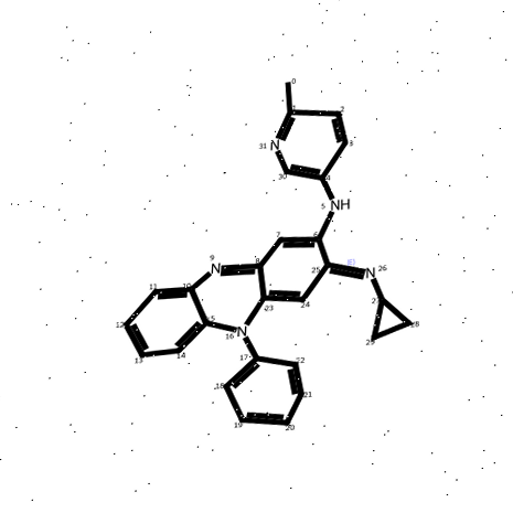 Cc1ccc(Nc2cc3nc4ccccc4n(-c4ccccc4)c-3c/c2=N\C2CC2)cn1